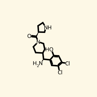 N[C@@H](c1cc(Cl)c(Cl)cc1O)C1CCN(C(=O)[C@H]2CCNC2)CC1